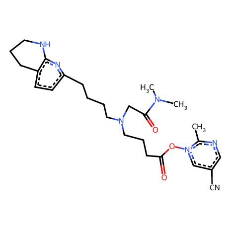 Cc1ncc(C#N)c[n+]1OC(=O)CCCN(CCCCc1ccc2c(n1)NCCC2)CC(=O)N(C)C